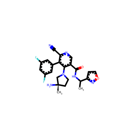 CC(NC(=O)c1cnc(C#N)c(-c2cc(F)cc(F)c2)c1N1CC[C@](C)(N)C1)c1ccon1